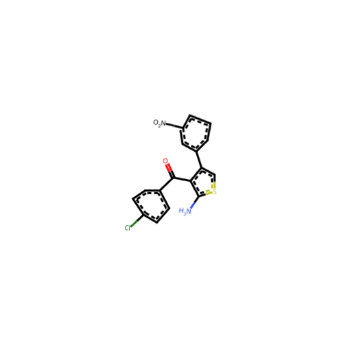 Nc1scc(-c2cccc([N+](=O)[O-])c2)c1C(=O)c1ccc(Cl)cc1